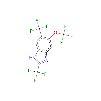 FC(F)(F)Oc1cc2nc(C(F)(F)F)[nH]c2cc1C(F)(F)F